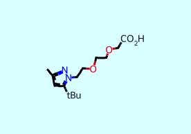 Cc1cc(C(C)(C)C)n(CCOCCOCC(=O)O)n1